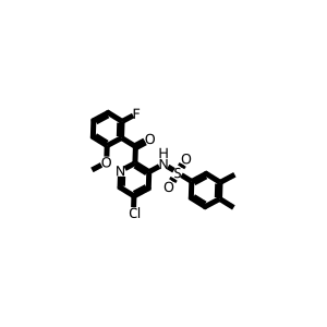 COc1cccc(F)c1C(=O)c1ncc(Cl)cc1NS(=O)(=O)c1ccc(C)c(C)c1